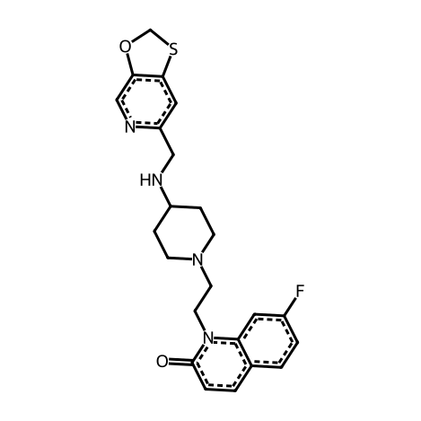 O=c1ccc2ccc(F)cc2n1CCN1CCC(NCc2cc3c(cn2)OCS3)CC1